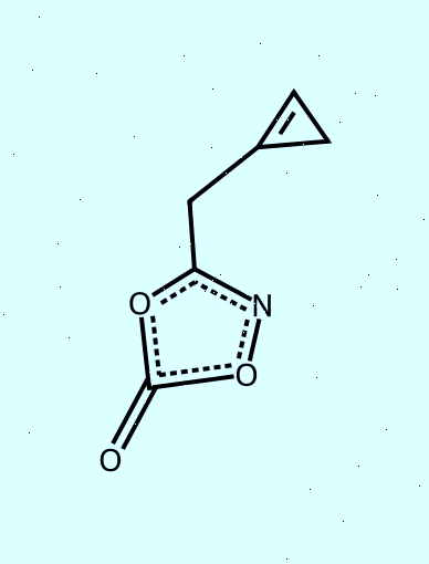 O=c1onc(CC2=CC2)o1